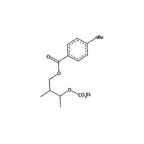 CCCCc1ccc(C(=O)OCC(C)C(C)OC(=O)OCC)cc1